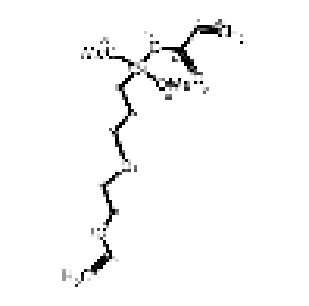 C=COCCOCCC[Si](OC)(OC)OC(=O)C=C